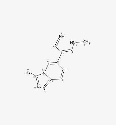 CN/C=C(\C=N)c1ccc2nnc(S)n2c1